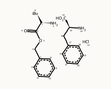 CC[C@H](C)[C@H](N)C(=O)OCc1ccccc1.Cl.N[C@@H](Cc1ccccc1)C(=O)O